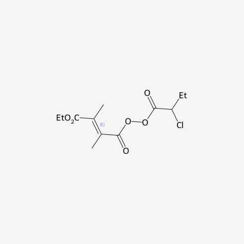 CCOC(=O)/C(C)=C(\C)C(=O)OOC(=O)C(Cl)CC